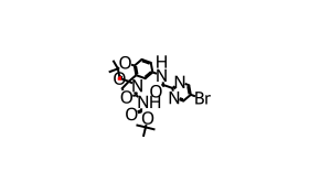 CC(C)(C)OC(=O)NC1=NC2(CO1)c1cc(NC(=O)c3ncc(Br)cn3)ccc1OC(C)(C)C21COC1